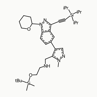 CC(C)[Si](C#Cc1nn(C2CCCCO2)c2ccc(-c3cnn(C)c3CNCCO[Si](C)(C)C(C)(C)C)cc12)(C(C)C)C(C)C